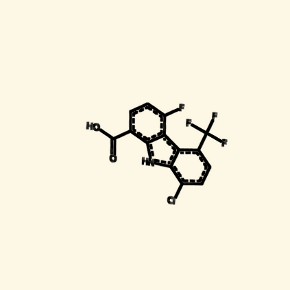 O=C(O)c1ccc(F)c2c1[nH]c1c(Cl)ccc(C(F)(F)F)c12